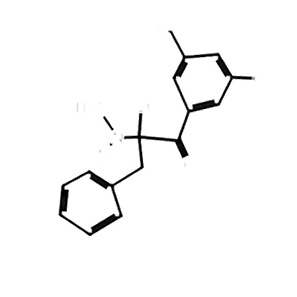 CCC(Cc1ccccc1)(C(=O)c1cc(Cl)cc(Cl)c1)N(C)C